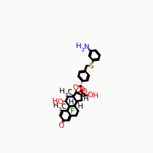 C[C@]12C=CC(=O)C=C1CC[C@H]1[C@@H]3C[C@H]4O[C@@H](c5ccc(CSc6cccc(N)c6)cc5)O[C@@]4(C(=O)CO)[C@@]3(C)C[C@H](O)[C@@]12F